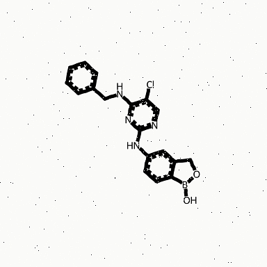 OB1OCc2cc(Nc3ncc(Cl)c(NCc4ccccc4)n3)ccc21